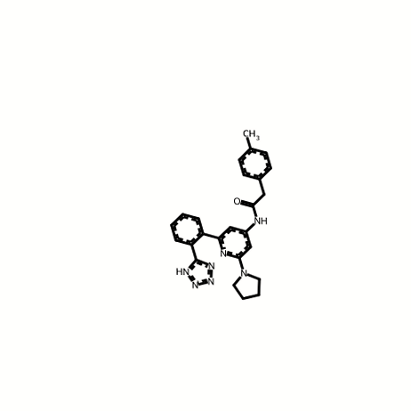 Cc1ccc(CC(=O)Nc2cc(-c3ccccc3-c3nnn[nH]3)nc(N3CCCC3)c2)cc1